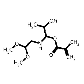 C=C(C)C(=O)OC(NCC(OC)OC)C(C)O